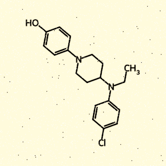 CCN(c1ccc(Cl)cc1)C1CCN(c2ccc(O)cc2)CC1